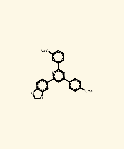 COc1ccc(-c2cc(-c3cccc(OC)c3)nc(-c3ccc4c(c3)OCO4)c2)cc1